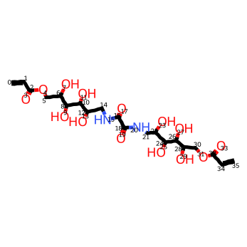 C=CC(=O)OCC(O)C(O)C(O)C(O)CNC(=O)C(=O)NCC(O)C(O)C(O)C(O)COC(=O)C=C